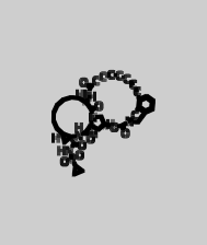 O=C1CCCCCCCc2cccc3c2CN(C3)C(=O)O[C@@H]2C[C@H]3C(=O)N[C@]4(C(=O)NS(=O)(=O)C5CC5)C[C@H]4CCCCCCC[C@H](N1)C(=O)N3C2